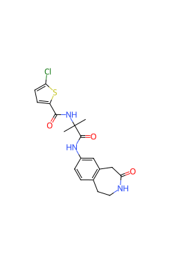 CC(C)(NC(=O)c1ccc(Cl)s1)C(=O)Nc1ccc2c(c1)CC(=O)NCC2